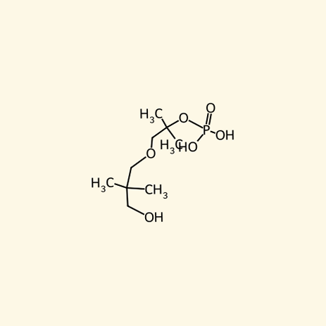 CC(C)(CO)COCC(C)(C)OP(=O)(O)O